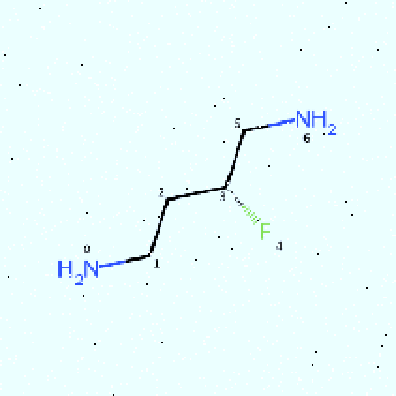 NCC[C@@H](F)CN